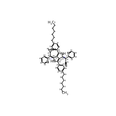 CCCCCCCc1ccc(-c2[nH]/c(=C(/C#N)c3ccccn3)c3c(-c4ccc(CCCCCCC)cc4)[nH]/c(=C(\c4ccccn4)C4CN4)c23)cc1